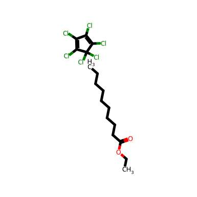 CCCCCCCCCC(=O)OCC.ClC1=C(Cl)C(Cl)(Cl)C(Cl)=C1Cl